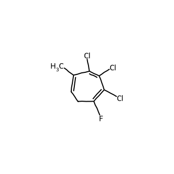 CC1=CCC(F)=C(Cl)C(Cl)=C1Cl